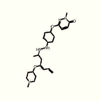 C=C/C=C(\CC(C)NNC1CCC(Oc2ccc(=O)n(C)n2)CC1)OC1CCN(C)CC1